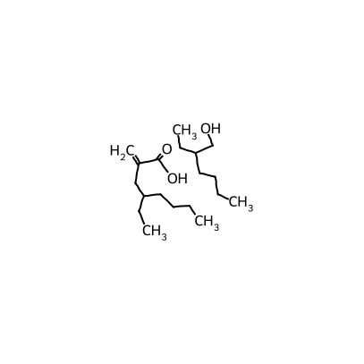 C=C(CC(CC)CCCC)C(=O)O.CCCCC(CC)CO